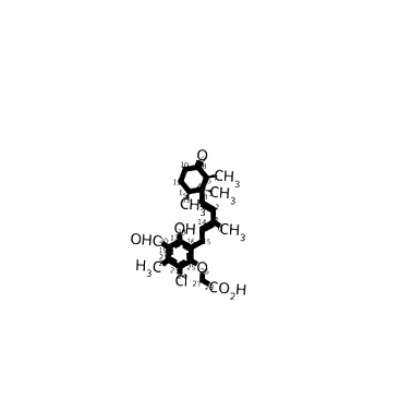 CC(C=C[C@]1(C)[C@H](C)C(=O)CC[C@@H]1C)=CCc1c(O)c(C=O)c(C)c(Cl)c1OCC(=O)O